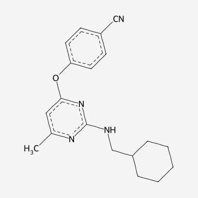 Cc1cc(Oc2ccc(C#N)cc2)nc(NCC2CCCCC2)n1